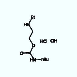 CCCCNC(=O)OCCNCC.Cl.Cl